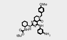 COc1ccc(CN2CCc3nc(N[C@@H]4CCCC[C@@H]4NC(=O)OC(C)(C)C)nc(Nc4cccc(N)c4)c3C2=O)cc1